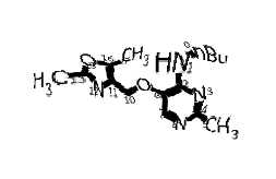 CCCCNc1nc(C)ncc1OCc1nc(C)oc1C